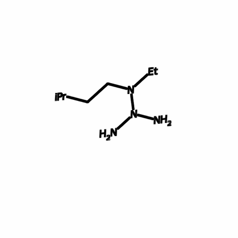 CCN(CCC(C)C)N(N)N